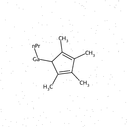 CC[CH2][Ga][CH]1C(C)=C(C)C(C)=C1C